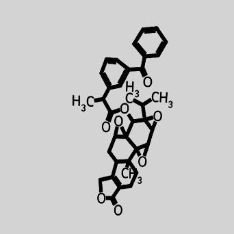 CC(C(=O)OC1C2(C(C)C)OC2C2OC23C2(C)CCC4=C(COC4=O)C2CC2OC213)c1cccc(C(=O)c2ccccc2)c1